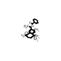 C=C(OC(=O)c1[c]cccc1)c1cc2c(cc1C)C(C)(C)CCC2(C)C